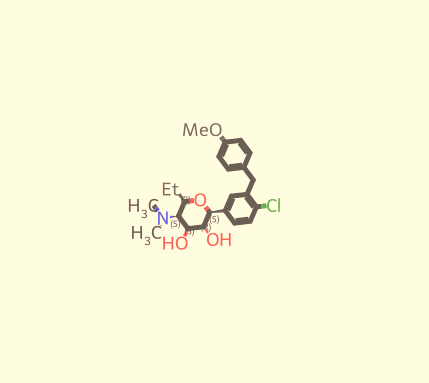 CC[C@H]1O[C@@H](c2ccc(Cl)c(Cc3ccc(OC)cc3)c2)[C@H](O)[C@@H](O)[C@@H]1N(C)C